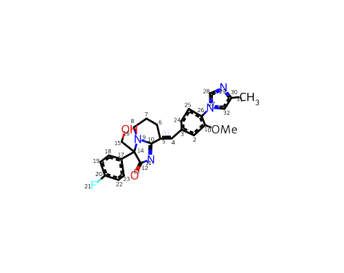 COc1cc(/C=C2\CCCN3C2=NC(=O)C3(CO)c2ccc(F)cc2)ccc1-n1cnc(C)c1